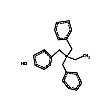 CC[P](Cc1ccccc1)(Cc1ccccc1)Cc1ccccc1.Cl